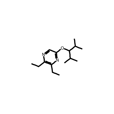 CCc1ncc(OC(C(C)C)C(C)C)nc1CC